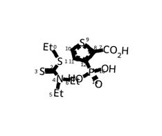 CCSC(=S)N(CC)CC.O=C(O)c1sccc1P(=O)(O)O